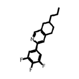 CCCC1CCc2cc(-c3cc(F)c(F)c(F)c3)ncc2C1